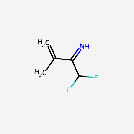 C=C(C)C(=N)C(F)F